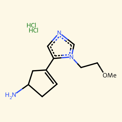 COCCn1cncc1C1=CCC(N)C1.Cl.Cl